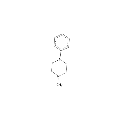 [CH2]N1CCN(c2ccccc2)CC1